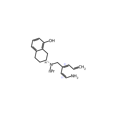 C=C/C=C(\C=C/N)CN(CCC)[C@@H]1CCc2cccc(O)c2C1